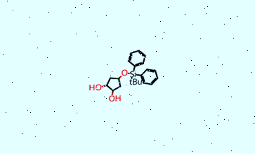 CC(C)(C)[Si](OC1CC(O)C(O)C1)(c1ccccc1)c1ccccc1